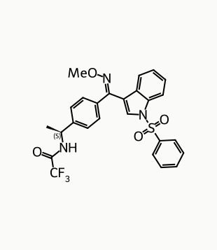 CON=C(c1ccc([C@H](C)NC(=O)C(F)(F)F)cc1)c1cn(S(=O)(=O)c2ccccc2)c2ccccc12